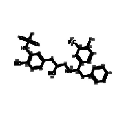 CS(=O)(=O)Nc1cc(C[C@H](O)CNC(Cc2ccccc2)c2ccc(F)c(C(F)(F)F)c2)ccc1O